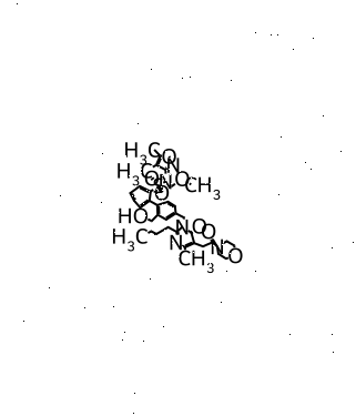 CCCCc1nc(C)c(CC(=O)N2CCOCC2)c(=O)n1Cc1ccc(-c2ccccc2S(=O)(=O)N(COC)c2noc(C)c2C)c(CO)c1